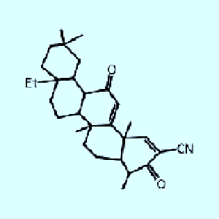 CCC12CCC3C(C(=O)C=C4C5(C)C=C(C#N)C(=O)C(C)C5CCC43C)C1CC(C)(C)CC2